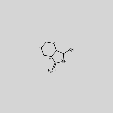 C=C1NC(O)C2CCCCC12